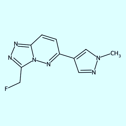 Cn1cc(-c2ccc3nnc(CF)n3n2)cn1